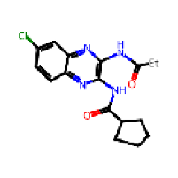 CCC(=O)Nc1nc2cc(Cl)ccc2nc1NC(=O)C1CCCC1